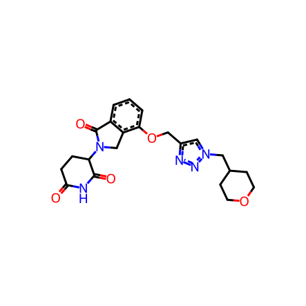 O=C1CCC(N2Cc3c(OCc4cn(CC5CCOCC5)nn4)cccc3C2=O)C(=O)N1